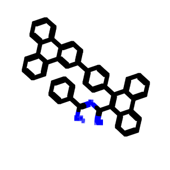 N=C(/N=C(\N)c1ccccc1)c1c(-c2ccc(-c3ccc4c5ccccc5c5ccccc5c4c3)cc2)c2ccccc2c2ccccc12